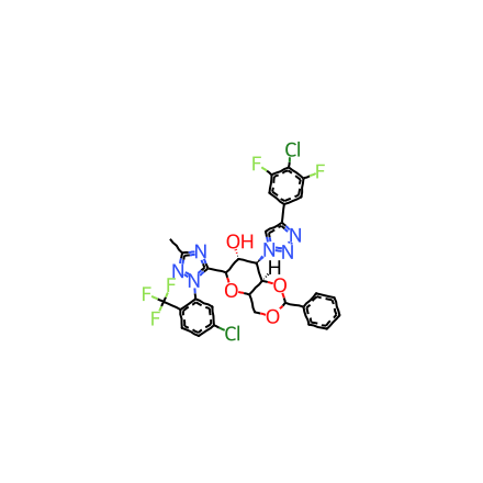 Cc1nc(C2OC3COC(c4ccccc4)O[C@@H]3[C@H](n3cc(-c4cc(F)c(Cl)c(F)c4)nn3)[C@H]2O)n(-c2cc(Cl)ccc2C(F)(F)F)n1